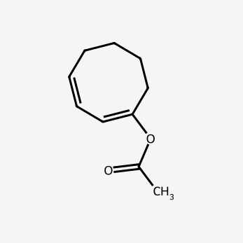 CC(=O)OC1=CC=CCCCC1